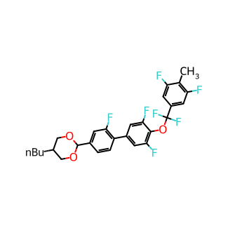 CCCCC1COC(c2ccc(-c3cc(F)c(OC(F)(F)c4cc(F)c(C)c(F)c4)c(F)c3)c(F)c2)OC1